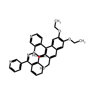 CCOc1cc2cc(CO)c(CO)c(-c3ccncc3-n3nc(-c4cccnc4)c4c(c3=O)CCC=C4)c2cc1OCC